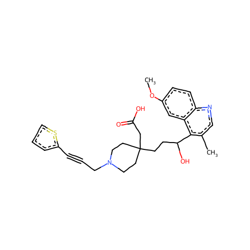 COc1ccc2ncc(C)c(C(O)CCC3(CC(=O)O)CCN(CC#Cc4cccs4)CC3)c2c1